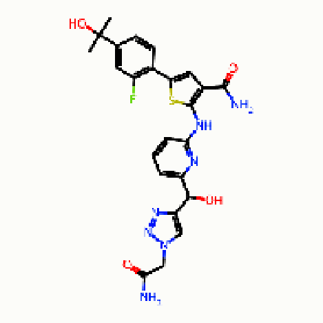 CC(C)(O)c1ccc(-c2cc(C(N)=O)c(Nc3cccc(C(O)c4cn(CC(N)=O)nn4)n3)s2)c(F)c1